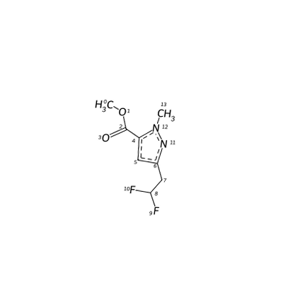 COC(=O)c1cc(CC(F)F)nn1C